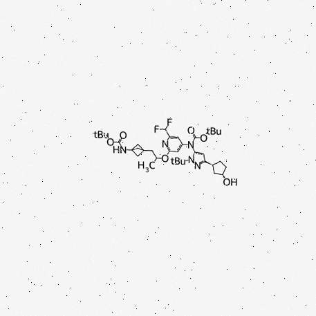 CC(CC12CC(NC(=O)OC(C)(C)C)(C1)C2)Oc1cc(N(C(=O)OC(C)(C)C)c2cc([C@H]3CC[C@@H](O)C3)nn2C(C)(C)C)cc(C(F)F)n1